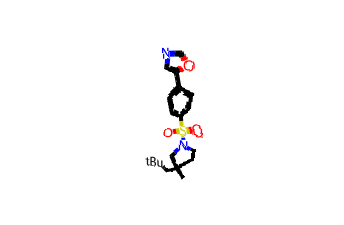 CC(C)(C)CC1(C)CCN(S(=O)(=O)c2ccc(-c3cnco3)cc2)C1